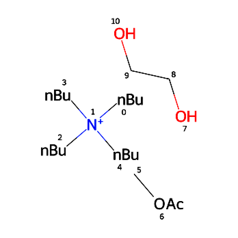 CCCC[N+](CCCC)(CCCC)CCCC.COC(C)=O.OCCO